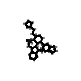 COC1c2ccccc2C(=O)N1C1C(c2ccc3ccoc3c2)CCN(CCn2cccc2)C1C